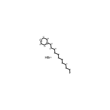 Br.CCCCCCCCCCCCN1CCOCC1